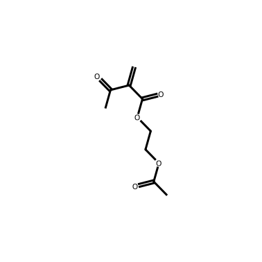 C=C(C(C)=O)C(=O)OCCOC(C)=O